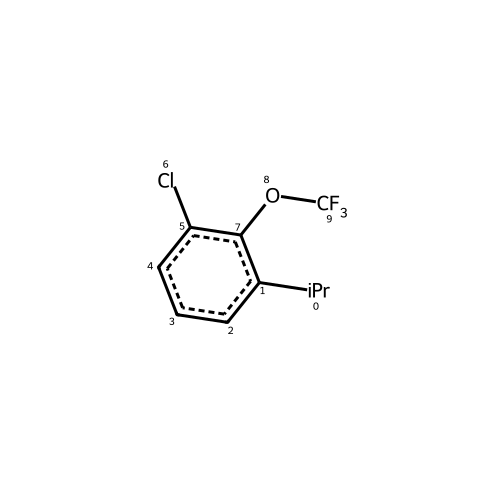 CC(C)c1cccc(Cl)c1OC(F)(F)F